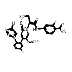 CCC(C(=O)Nc1ccc(C(N)=O)c(F)c1)N(C)/C=C(OC)\C(=C/C=O)c1cc(Cl)ccc1-n1cc(Cl)nn1